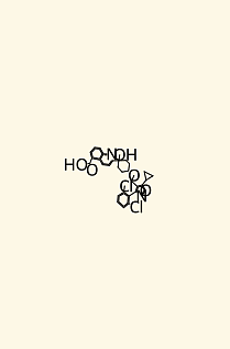 O=C(O)c1cccc2nc(C3(O)CCC(OCc4c(-c5c(Cl)cccc5Cl)noc4C4CC4)CC3)ccc12